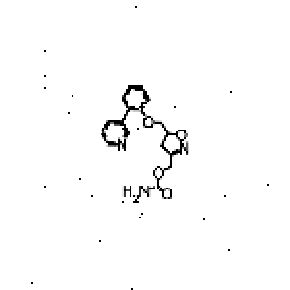 NC(=O)OCC1=NOC(COc2ccccc2-c2cccnc2)C1